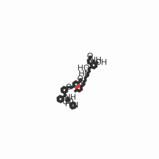 Cc1ccc(CN(CCCNC[C@H](O)c2ccc(O)c3[nH]c(=O)ccc23)C(=O)c2ccc(COc3cccc([C@@H](NC(=O)O[C@H]4CN5CCC4CC5)c4ccccc4)c3)cc2)cc1